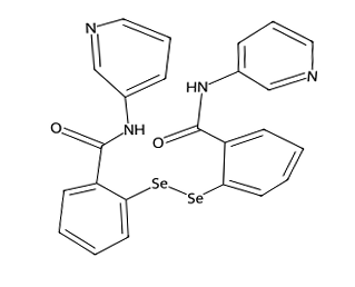 O=C(Nc1cccnc1)c1ccccc1[Se][Se]c1ccccc1C(=O)Nc1cccnc1